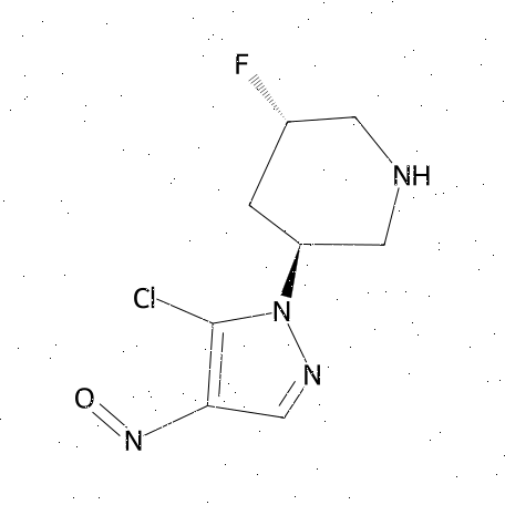 O=Nc1cnn([C@@H]2CNC[C@@H](F)C2)c1Cl